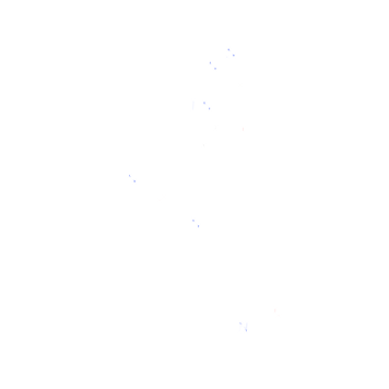 Cc1ccc2c(n1)Oc1nc(-c3ccc(C(=O)N(C)C)cc3)ccc1[C@H]2C(C)(C)C(=O)Nc1nncs1